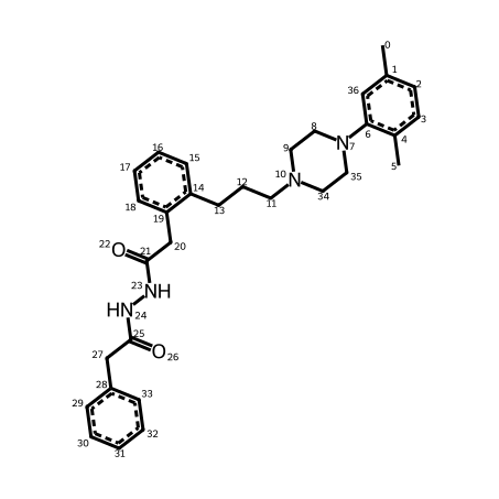 Cc1ccc(C)c(N2CCN(CCCc3ccccc3CC(=O)NNC(=O)Cc3ccccc3)CC2)c1